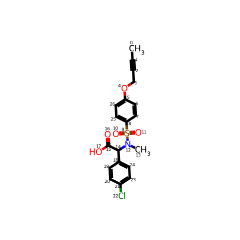 CC#CCOc1ccc(S(=O)(=O)N(C)C(C(=O)O)c2ccc(Cl)cc2)cc1